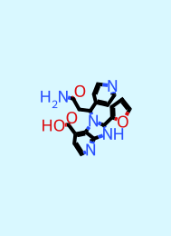 NC(=O)CC(c1ccncc1)N1c2c(C(=O)O)ccnc2NC1c1ccco1